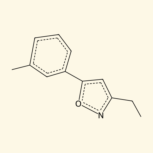 CCc1cc(-c2cccc(C)c2)on1